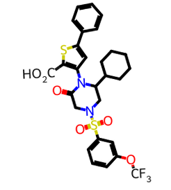 O=C(O)c1sc(-c2ccccc2)cc1N1C(=O)CN(S(=O)(=O)c2cccc(OC(F)(F)F)c2)CC1C1CCCCC1